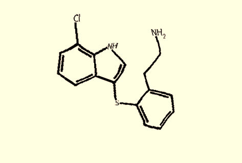 NCCc1ccccc1Sc1c[nH]c2c(Cl)cccc12